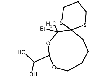 CCC1(C)OC(C(O)O)OCCCCC12SCCCS2